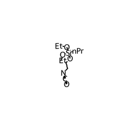 CCC[Si](OCC)(OCC)OCCN=C=O